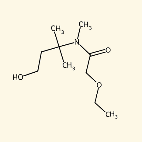 CCOCC(=O)N(C)C(C)(C)CCO